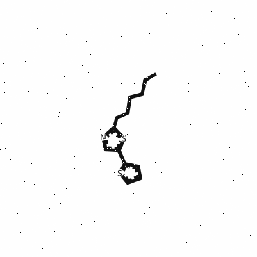 CCCCCCc1ncc(-c2cccs2)s1